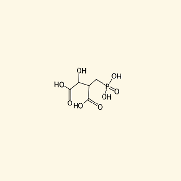 O=C(O)C(O)C(CP(=O)(O)O)C(=O)O